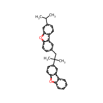 CC(C)c1ccc2c(c1)oc1ccc(CC(C)(C)c3ccc4oc5ccccc5c4c3)cc12